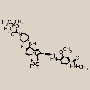 CNC(=O)c1ccc(NCC#Cc2cc3c(N[C@@H]4CCN(C(=O)OC(C)(C)C)C[C@@H]4F)cccn3c2SC(F)(F)F)c(OC)c1